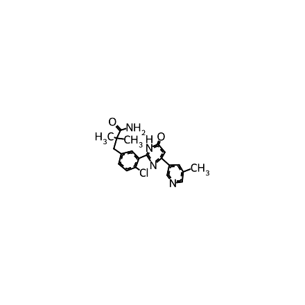 Cc1cncc(-c2cc(=O)[nH]c(-c3cc(CC(C)(C)C(N)=O)ccc3Cl)n2)c1